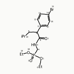 CCOP(=O)(CNC(=O)C(CC(C)C)c1ccc(Br)cc1)OCC